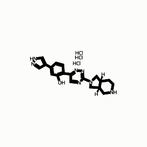 Cl.Cl.Cl.Oc1cc(-c2cn[nH]c2)ccc1-c1cnc(N2C[C@H]3CNCC[C@H]3C2)nn1